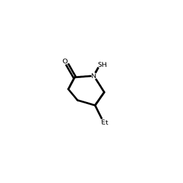 CCC1CCC(=O)N(S)C1